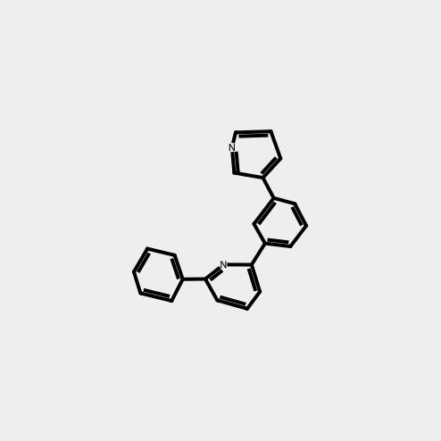 c1ccc(-c2cccc(-c3cccc(-c4cccnc4)c3)n2)cc1